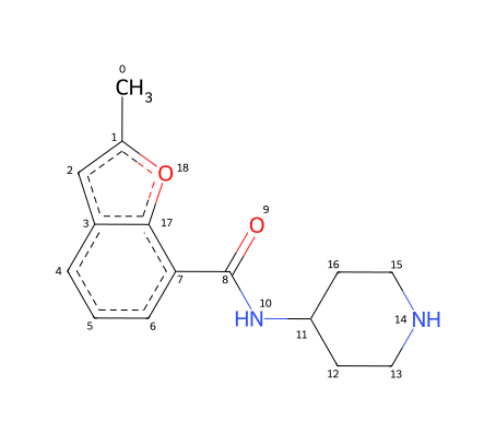 Cc1cc2cccc(C(=O)NC3CCNCC3)c2o1